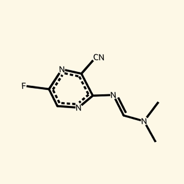 CN(C)C=Nc1ncc(F)nc1C#N